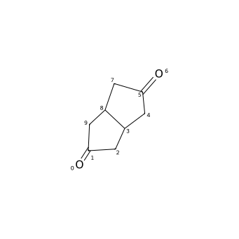 O=C1CC2CC(=O)CC2C1